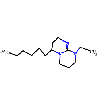 CCCCCCC1CCN=C2N(CC)CCCN21